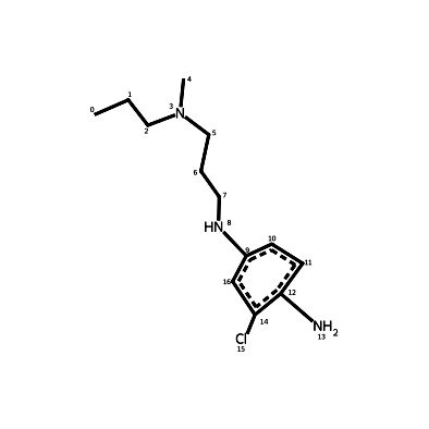 CCCN(C)CCCNc1ccc(N)c(Cl)c1